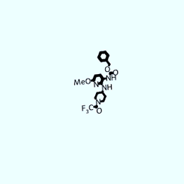 COc1ccc(NC(=O)OCc2ccccc2)c(NC2CCN(C(=O)C(F)(F)F)CC2)n1